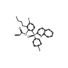 C=CC(=O)Oc1c(P(=O)(c2ccc(F)cc2)c2ccc3ccccc3n2)ccc(F)c1CCCC